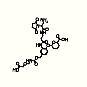 NCC(C(=O)NCCC(=O)Nc1cc(COC(=O)NCOCC(=O)O)ccc1OC1CCCC(C(=O)O)O1)N1C(=O)CCC1=O